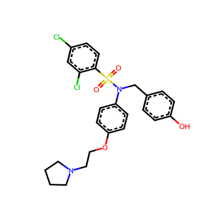 O=S(=O)(c1ccc(Cl)cc1Cl)N(Cc1ccc(O)cc1)c1ccc(OCCN2CCCC2)cc1